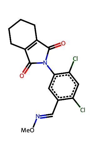 CON=Cc1cc(N2C(=O)C3=C(CCCC3)C2=O)c(Cl)cc1Cl